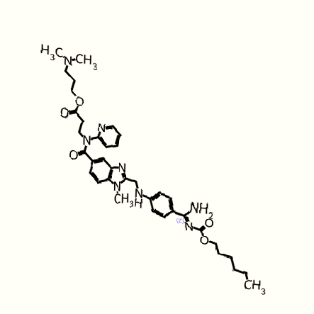 CCCCCCOC(=O)/N=C(\N)c1ccc(NCc2nc3cc(C(=O)N(CCC(=O)OCCCN(C)C)c4ccccn4)ccc3n2C)cc1